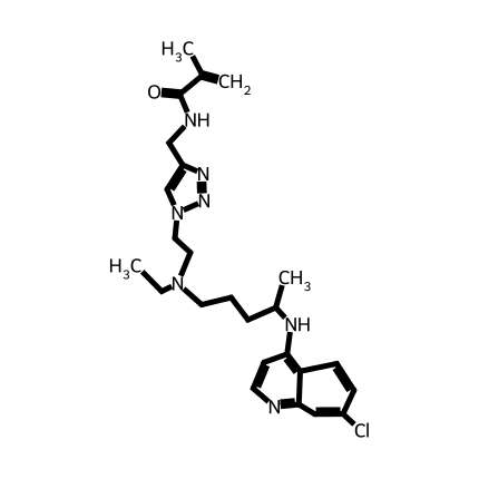 C=C(C)C(=O)NCc1cn(CCN(CC)CCCC(C)Nc2ccnc3cc(Cl)ccc23)nn1